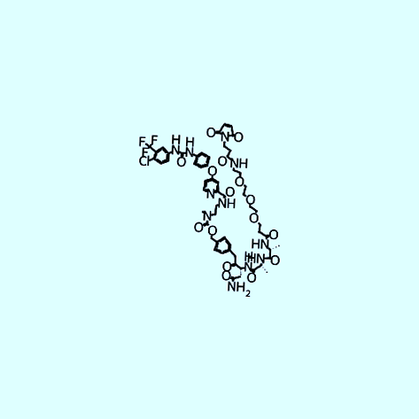 C[C@@H](NC(=O)CCOCCOCCOCCNC(=O)CCN1C(=O)C=CC1=O)C(=O)N[C@H](C)C(=O)N[C@H](CC(N)=O)C(=O)Cc1ccc(COC(=O)N(C)CCNC(=O)c2cc(Oc3ccc(NC(=O)Nc4ccc(Cl)c(C(F)(F)F)c4)cc3)ccn2)cc1